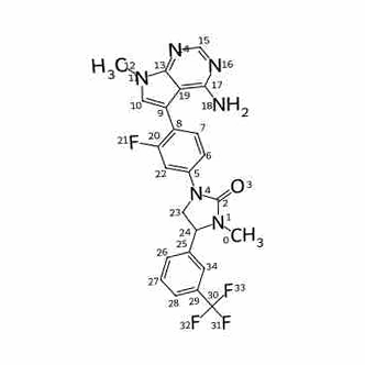 CN1C(=O)N(c2ccc(-c3cn(C)c4ncnc(N)c34)c(F)c2)CC1c1cccc(C(F)(F)F)c1